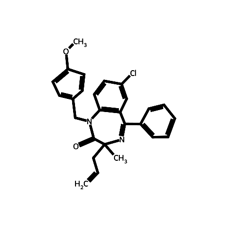 C=CCC1(C)N=C(c2ccccc2)c2cc(Cl)ccc2N(Cc2ccc(OC)cc2)C1=O